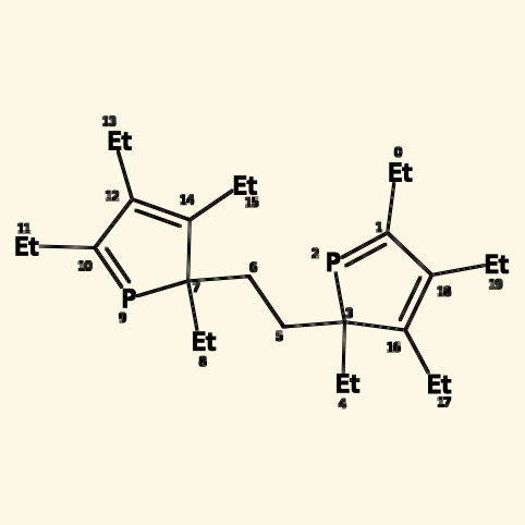 CCC1=PC(CC)(CCC2(CC)P=C(CC)C(CC)=C2CC)C(CC)=C1CC